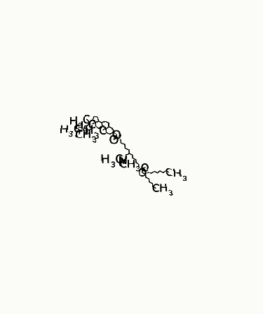 CCCCCCCCC(CCCCCC)OC(=O)CCCCCCC(CCCCCC(=O)OC1CCC2(C)C(=CCC3C2CCC2(C)C(C(C)CCCC(C)C)CCC32)C1)CCN(C)C